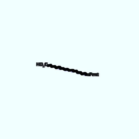 CCCCC/C=C/C/C=C/C/C=C/C/C=C/C/C=C/CCCCCC(=O)O